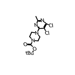 Cc1nc(Cl)c(Cl)c(N2CCN(C(=O)OC(C)(C)C)CC2)n1